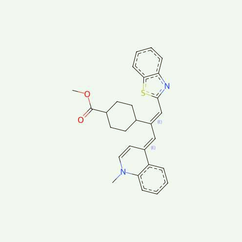 COC(=O)C1CCC(C(/C=C2\C=CN(C)c3ccccc32)=C\c2nc3ccccc3s2)CC1